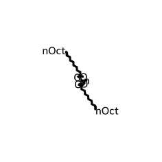 CCCCCCCCC=CCCCCCCCC(=O)[O][Sn]([CH3])([CH3])[O]C(=O)CCCCCCCC=CCCCCCCCC